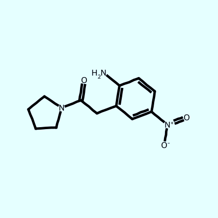 Nc1ccc([N+](=O)[O-])cc1CC(=O)N1CCCC1